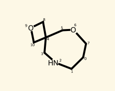 C1CNCC2(COC1)COC2